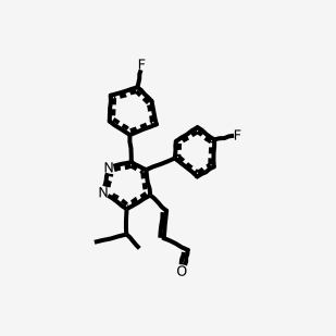 CC(C)c1nnc(-c2ccc(F)cc2)c(-c2ccc(F)cc2)c1C=CC=O